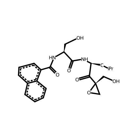 CC(C)C[C@H](NC(=O)[C@H](CO)NC(=O)c1cccc2ccccc12)C(=O)[C@]1(CO)CO1